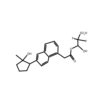 CC1(O)CCCC1c1ccc2c(CC(=O)OC(O)C(F)(F)S(=O)(=O)O)cccc2c1